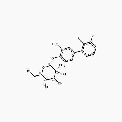 Cc1cc(-c2cccc(Cl)c2F)ccc1O[C@H]1O[C@H](CO)[C@@H](O)[C@H](O)[C@]1(C)O